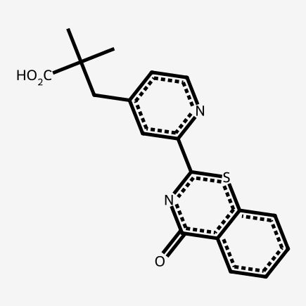 CC(C)(Cc1ccnc(-c2nc(=O)c3ccccc3s2)c1)C(=O)O